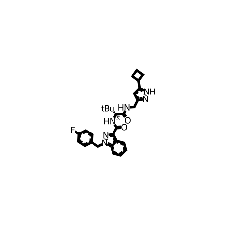 CC(C)(C)[C@H](NC(=O)c1nn(Cc2ccc(F)cc2)c2ccccc12)C(=O)NCc1cc(C2CCC2)[nH]n1